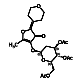 CC(=O)OC[C@H]1O[C@@H](OC2=C(C)OC(=C3CCOCC3)C2=O)C[C@@H](OC(C)=O)[C@@H]1OC(C)=O